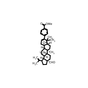 C=C(C)C1CC[C@]2(C=O)CC[C@]3(N)[C@H](CC[C@@H]4[C@@]5(C)CC=C(c6ccc(C(=O)OC)cc6)C(C)(C)[C@@H]5CC[C@]43C)[C@@H]12